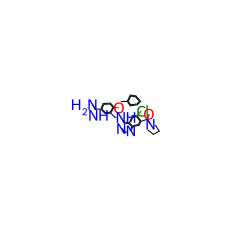 N=C(N)c1ccc(OCc2ccccc2)c(CNc2ncnc3cc(C(=O)N4CCCC4)c(Cl)cc23)c1